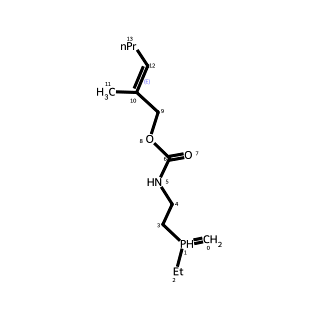 C=[PH](CC)CCNC(=O)OC/C(C)=C/CCC